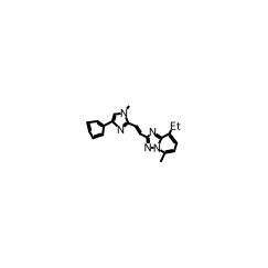 CCc1ccc(C)n2nc(/C=C/c3nc(-c4ccccc4)cn3C)nc12